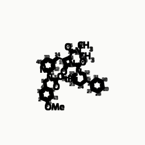 COc1ccc(CN(C(=O)OC(C)(C)C)c2cc(C[C@H]3C(=O)N(C(=O)N4CCC[C@H](c5ccccc5)C4)[C@@H]3C(=O)N(C)C)ccn2)cc1